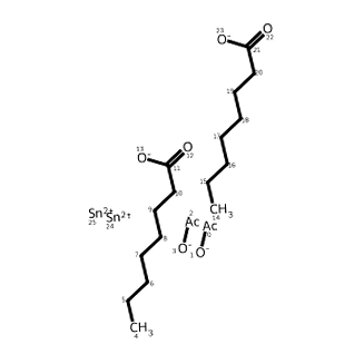 CC(=O)[O-].CC(=O)[O-].CCCCCCCC(=O)[O-].CCCCCCCC(=O)[O-].[Sn+2].[Sn+2]